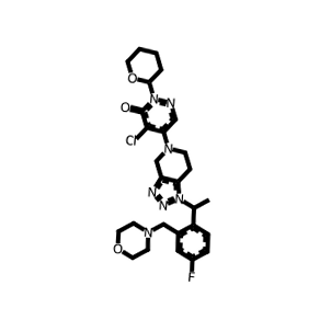 CC(c1ccc(F)cc1CN1CCOCC1)n1nnc2c1CCN(c1cnn(C3CCCCO3)c(=O)c1Cl)C2